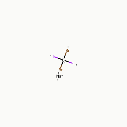 Br[B-](Br)(I)I.[Na+]